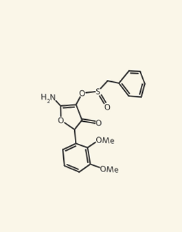 COc1cccc(C2OC(N)=C(OS(=O)Cc3ccccc3)C2=O)c1OC